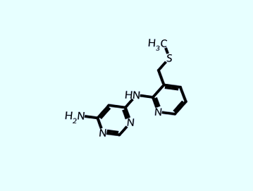 CSCc1cccnc1Nc1cc(N)ncn1